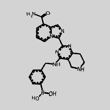 NC(=O)c1cccn2c(-c3nc4c(c(NCc5cccc(B(O)O)c5)n3)CNCC4)ncc12